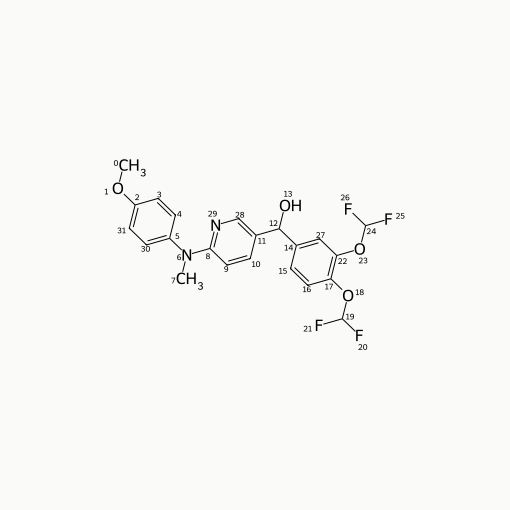 COc1ccc(N(C)c2ccc(C(O)c3ccc(OC(F)F)c(OC(F)F)c3)cn2)cc1